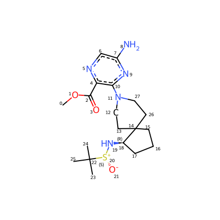 COC(=O)c1ncc(N)nc1N1CCC2(CCC[C@H]2N[S@+]([O-])C(C)(C)C)CC1